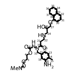 CNOOCCOC(=O)NN(Cc1ccc(C)c(N)c1)C(=O)CCNCC(O)COc1cccc2ccccc12